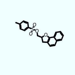 Cc1ccc(S(=O)(=O)OCC2Cc3ccc4ccccc4c3O2)cc1